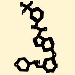 O=C(Nc1cccc(C(F)(F)F)c1)n1ccc2cc(Oc3cc(CNC4CCOCC4)ncn3)ccc21